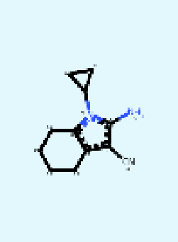 N#Cc1c2c(n(C3CC3)c1N)CCCC2